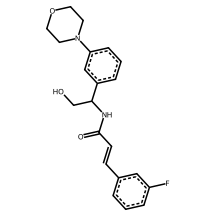 O=C(C=Cc1cccc(F)c1)NC(CO)c1cccc(N2CCOCC2)c1